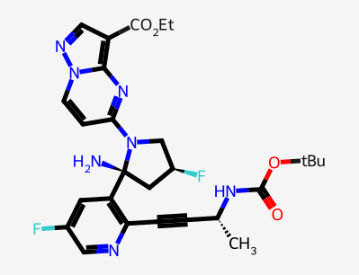 CCOC(=O)c1cnn2ccc(N3C[C@@H](F)C[C@]3(N)c3cc(F)cnc3C#C[C@@H](C)NC(=O)OC(C)(C)C)nc12